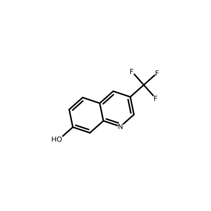 Oc1ccc2cc(C(F)(F)F)cnc2c1